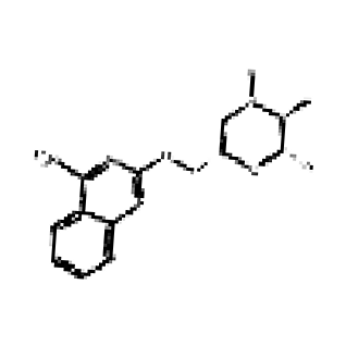 C[C@@H]1O[C@H](COc2nc(N)c3ccccc3n2)CN(C)[C@H]1C